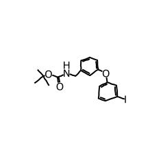 CC(C)(C)OC(=O)NCc1cccc(Oc2cccc(I)c2)c1